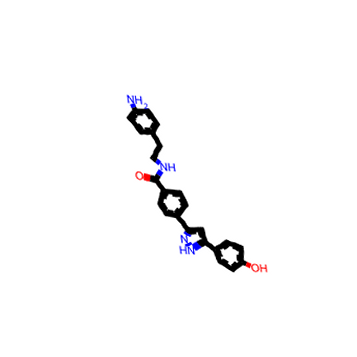 Nc1ccc(CCNC(=O)c2ccc(-c3cc(-c4ccc(O)cc4)[nH]n3)cc2)cc1